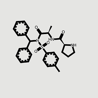 Cc1ccc(S(=O)(=O)N(C(=O)[C@@H](C)NC(=O)[C@@H]2CCCN2)C(c2ccccc2)c2ccccc2)cc1